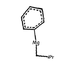 CC(C)[CH2][Mg][c]1ccccc1